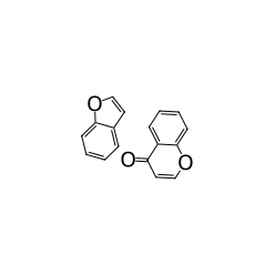 O=c1ccoc2ccccc12.c1ccc2occc2c1